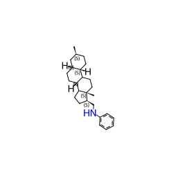 C[C@H]1CC[C@@H]2C3CC[C@@]4(C)C(CC[C@@H]4CNc4ccccc4)[C@@H]3CC[C@@H]2C1